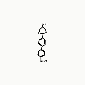 CCCCCCCCc1ccc(-c2ccc(C3CCC(CCCC)CO3)cc2)cc1